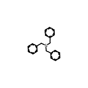 c1ccc(C[Si](Cc2ccccc2)Cc2ccccc2)cc1